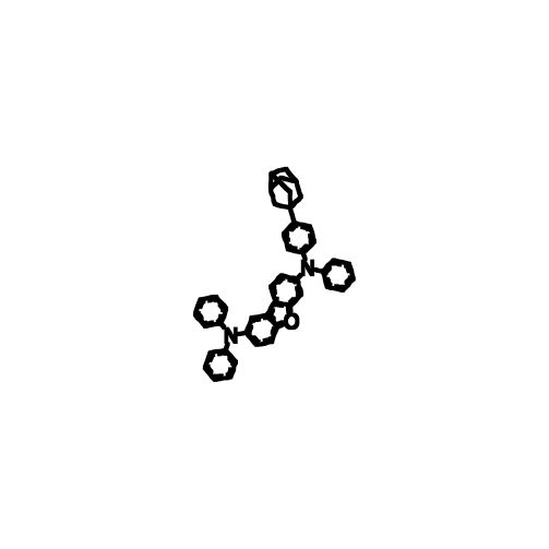 c1ccc(N(c2ccc(C34CC5CC(C3)C(C5)C4)cc2)c2ccc3c(c2)oc2ccc(N(c4ccccc4)c4ccccc4)cc23)cc1